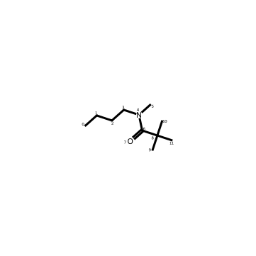 CCCCN(C)C(=O)C(C)(C)C